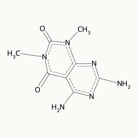 Cn1c(=O)c2c(N)nc(N)nc2n(C)c1=O